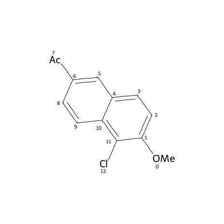 COc1ccc2cc(C(C)=O)ccc2c1Cl